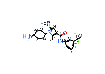 Cc1c(C(=O)Nc2cccc(C(C)(F)F)c2)cc(C(C)(C)C)n1[C@H]1CC[C@H](N)CC1